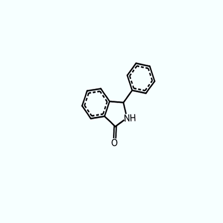 O=C1NC(c2ccccc2)c2ccccc21